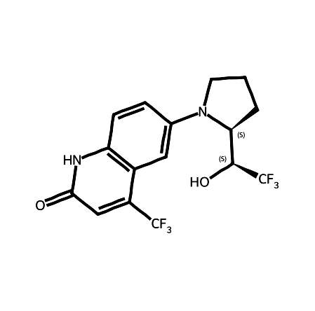 O=c1cc(C(F)(F)F)c2cc(N3CCC[C@H]3[C@H](O)C(F)(F)F)ccc2[nH]1